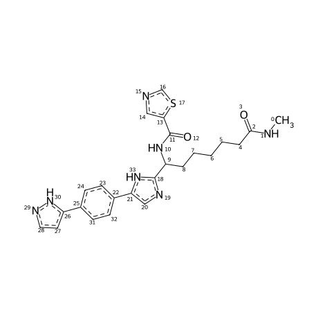 CNC(=O)CCCCCC(NC(=O)c1cncs1)c1ncc(-c2ccc(-c3ccn[nH]3)cc2)[nH]1